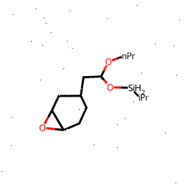 CCCOC(CC1CCC2OC2C1)O[SiH2]C(C)C